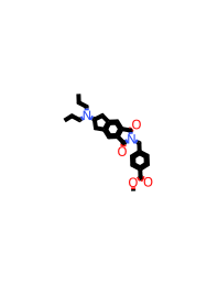 CCCN(CCC)C1Cc2cc3c(cc2C1)C(=O)N(Cc1ccc(C(=O)OC)cc1)C3=O